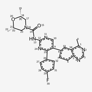 Cc1ncnc2ccc(-c3cnc(NC(=O)N4C[C@@H](C)O[C@@H](C)C4)nc3-c3ccc(F)cc3)cc12